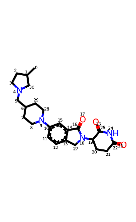 CC1CCN(CC2CCN(c3ccc4c(c3)C(=O)N(C3CCC(=O)NC3=O)C4)CC2)C1